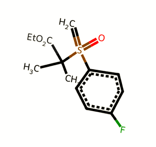 C=S(=O)(c1ccc(F)cc1)C(C)(C)C(=O)OCC